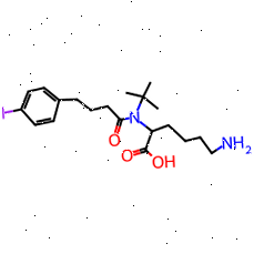 CC(C)(C)N(C(=O)CCCc1ccc(I)cc1)C(CCCCN)C(=O)O